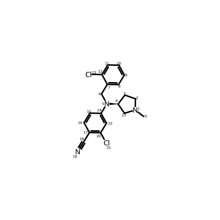 CN1CC[C@H](N(Cc2ccccc2Cl)c2ccc(C#N)c(Cl)c2)C1